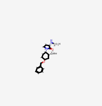 CO[C@@H]1C[C@@H](OCc2ccccc2)CC[C@@H]1N1CC[C@H](NC(=O)O)C1=O